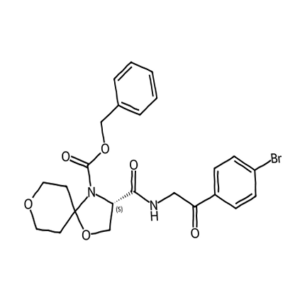 O=C(CNC(=O)[C@@H]1COC2(CCOCC2)N1C(=O)OCc1ccccc1)c1ccc(Br)cc1